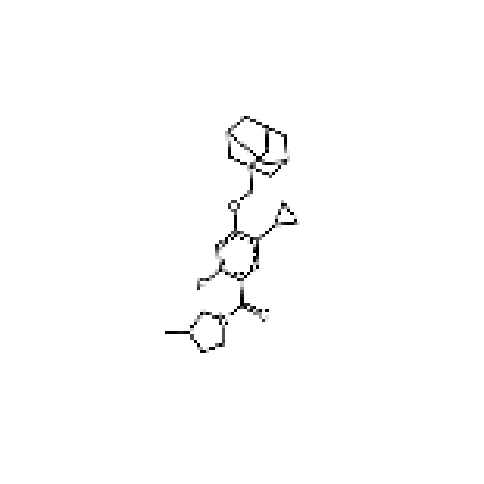 CC1CCN(C(=O)c2cc(C3CC3)c(OCC34CC5CC(CC(C5)C3)C4)cc2F)C1